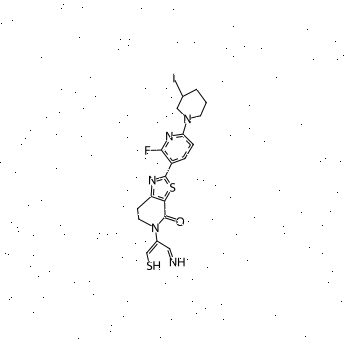 N=C/C(=C\S)N1CCc2nc(-c3ccc(N4CCCC(I)C4)nc3F)sc2C1=O